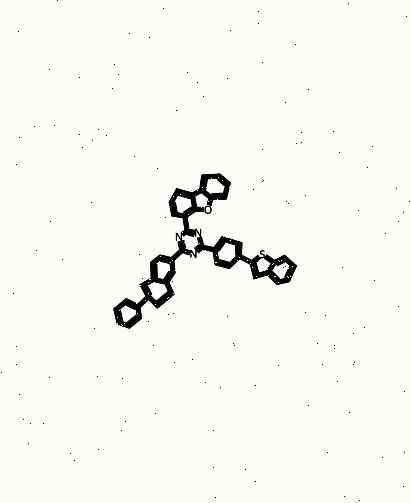 c1ccc(-c2ccc3cc(-c4nc(-c5ccc(-c6cc7ccccc7s6)cc5)nc(-c5cccc6c5oc5ccccc56)n4)ccc3c2)cc1